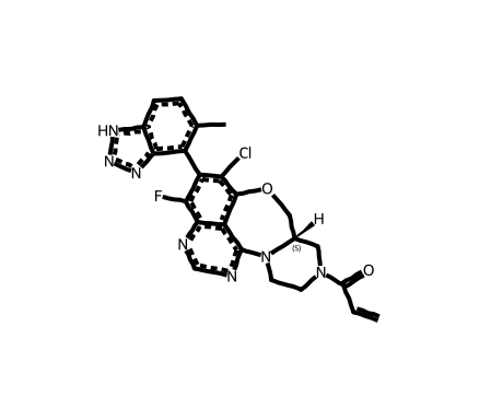 C=CC(=O)N1CCN2c3ncnc4c(F)c(-c5c(C)ccc6[nH]nnc56)c(Cl)c(c34)OC[C@@H]2C1